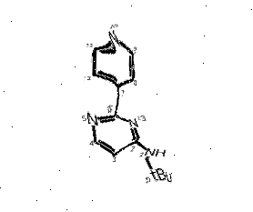 CC(C)(C)Nc1ccnc(-c2ccncc2)n1